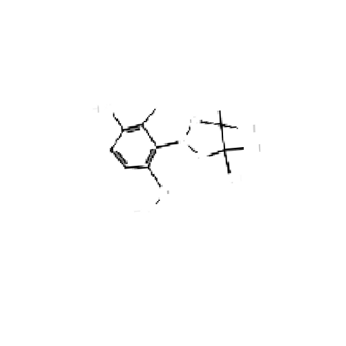 COc1ccc(C)c(F)c1B1OC(C)(C)C(C)(C)O1